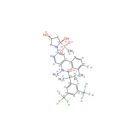 Cc1cc(-c2cc(N3C[C@@H](O)C[C@]3(O)S(C)(=O)=O)ncc2N(C)C(=O)C(C)(C)c2cc(C(F)(F)F)cc(C(F)(F)F)c2)ccc1F